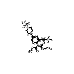 CCS(=O)(=O)N1CCN(c2cnc(N(C(=O)OC(C)(C)C)C(=O)OC(C)(C)C)c(C#C[Si](C)(C)C)n2)CC1